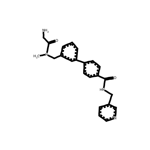 CN(Cc1cccc(-c2ccc(C(=O)NCc3cccnc3)cc2)c1)C(=O)CN